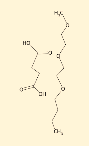 CCCCOCCOCCOC.O=C(O)CCC(=O)O